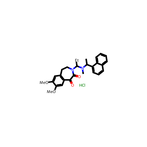 CCC(N1CCc2cc(OC)c(OC)cc2C(=O)C1=O)N(C)C(C)c1cccc2ccccc12.Cl